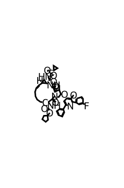 O=C(N[C@H]1CCCCC/C=C\[C@@H]2C[C@@]2(C(=O)NS(=O)(=O)C2CC2)NC(=O)[C@@H]2C[C@@H](Oc3cc(-c4ccccc4)nc4c3oc3ccc(F)cc34)CN2C1=O)OC1CCCC1